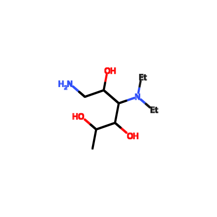 CCN(CC)C(C(O)CN)C(O)C(C)O